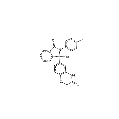 Cc1ccc(N2C(=O)c3ccccc3C2(O)c2ccc3c(c2)NC(=O)CO3)cc1